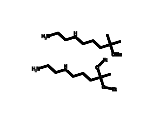 CCO[Si](C)(CCCNCCN)OCC.CO[Si](C)(C)CCCNCCN